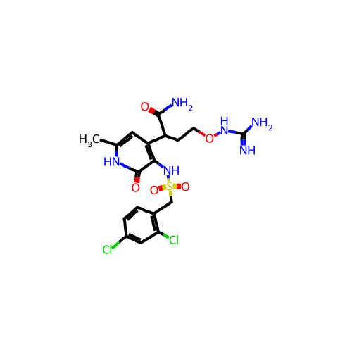 Cc1cc(C(CCONC(=N)N)C(N)=O)c(NS(=O)(=O)Cc2ccc(Cl)cc2Cl)c(=O)[nH]1